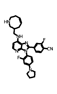 N#Cc1ccc(-c2nc3c(NCC4CC=CCCNC4)ccnc3n2-c2ccc(N3CCCC3)cc2F)cc1F